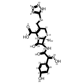 O=C(O)C1=C(CSc2nnn[nH]2)CS[C@H]2C(NC(=O)C(=NO)c3ccc(O)cc3)C(=O)N12